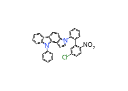 O=[N+]([O-])c1ccc(Cl)cc1-c1ccccc1-n1ccc2c1ccc1c3ccccc3n(-c3ccccc3)c12